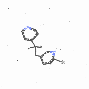 CC(C)(C)c1ccc(CC(C)(C)c2ccncc2)cn1